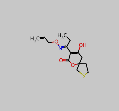 C=CCON=C(CC)C1=C(O)CC2(CCSC2)OC1=O